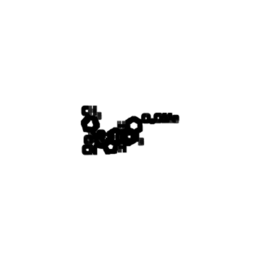 [C-]#[N+]/C(=C1\CC[C@H]2[C@@H]3CC=C4C[C@@H](OCOC)CC[C@]4(C)[C@H]3CC[C@]12C)S(=O)(=O)c1ccc(C)cc1